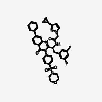 O=C(Cn1ccc(C2CC2)n1)N[C@@H](Cc1cc(F)cc(F)c1)c1nc2cc(-c3ccccc3)ccc2c(=O)n1-c1ccc(S(=O)(=O)N2CCOCC2)cc1